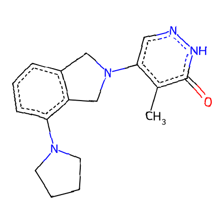 Cc1c(N2Cc3cccc(N4CCCC4)c3C2)cn[nH]c1=O